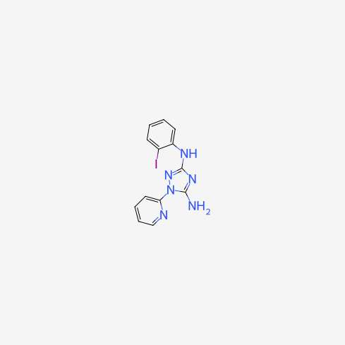 Nc1nc(Nc2ccccc2I)nn1-c1ccccn1